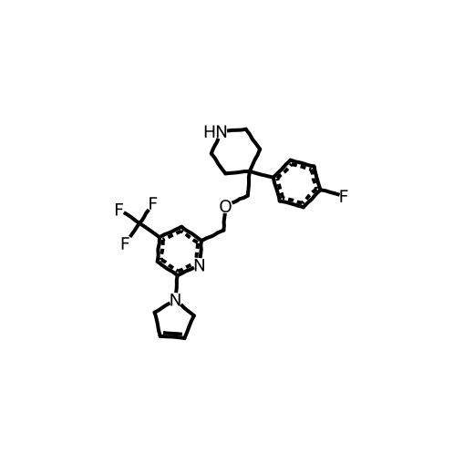 Fc1ccc(C2(COCc3cc(C(F)(F)F)cc(N4CC=CC4)n3)CCNCC2)cc1